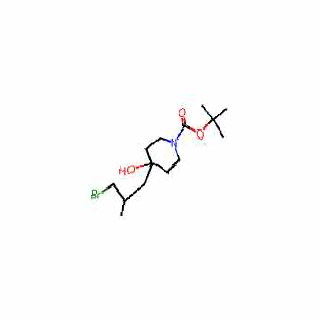 CC(CBr)CC1(O)CCN(C(=O)OC(C)(C)C)CC1